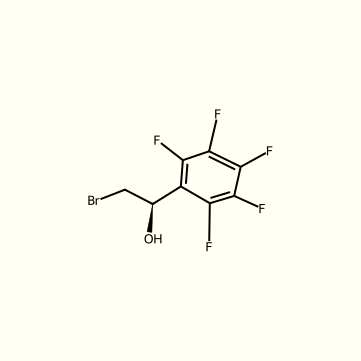 O[C@@H](CBr)c1c(F)c(F)c(F)c(F)c1F